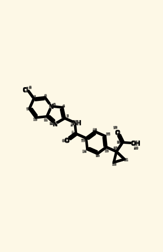 O=C(Nc1cn2cc(Cl)ccc2n1)c1ccc(C2(C(=O)O)CC2)cc1